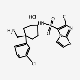 Cl.NC[C@]1(c2cccc(Cl)c2)CC[C@H](NS(=O)(=O)c2c(Cl)nc3sccn23)CC1